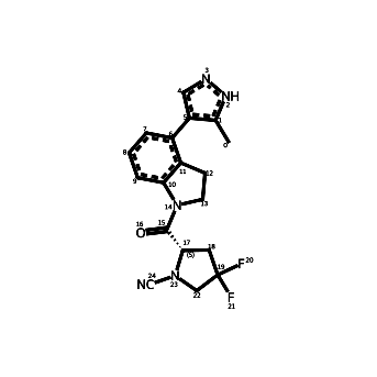 Cc1[nH]ncc1-c1cccc2c1CCN2C(=O)[C@@H]1CC(F)(F)CN1C#N